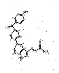 CC(C)c1ccc(C(=O)c2ccc(-c3cnc4[nH]cc(C=CC(N)=O)c4c3)cc2)cc1